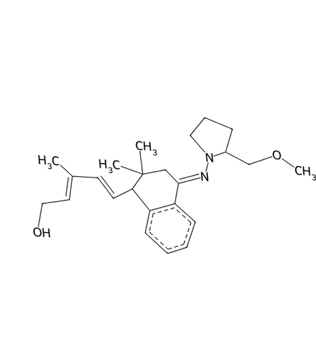 COCC1CCCN1N=C1CC(C)(C)C(C=CC(C)=CCO)c2ccccc21